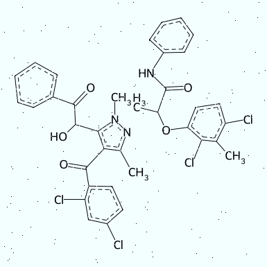 Cc1c(Cl)ccc(OC(C)C(=O)Nc2ccccc2)c1Cl.Cc1nn(C)c(C(O)C(=O)c2ccccc2)c1C(=O)c1ccc(Cl)cc1Cl